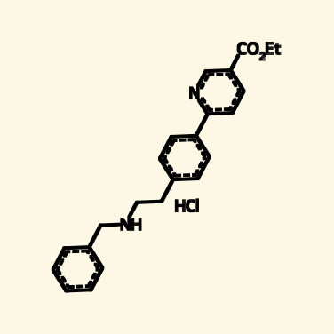 CCOC(=O)c1ccc(-c2ccc(CCNCc3ccccc3)cc2)nc1.Cl